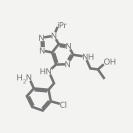 CC(O)CNc1nc(NCc2c(N)cccc2Cl)c2nnn(C(C)C)c2n1